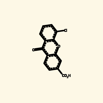 O=C(O)c1ccc2c(=O)c3cccc(Cl)c3oc2c1